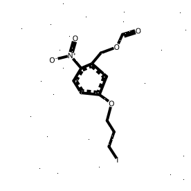 O=COCc1cc(OCCCI)ccc1[N+](=O)[O-]